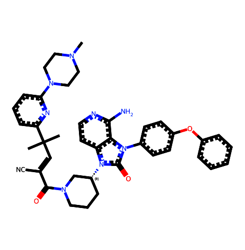 CN1CCN(c2cccc(C(C)(C)C=C(C#N)C(=O)N3CCC[C@@H](n4c(=O)n(-c5ccc(Oc6ccccc6)cc5)c5c(N)nccc54)C3)n2)CC1